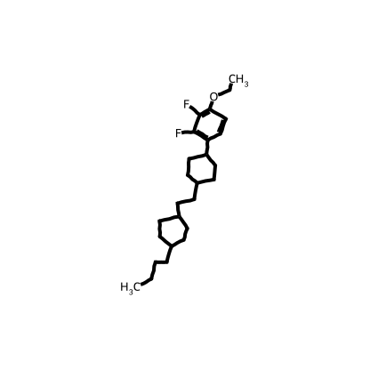 CCCCC1CCC(CCC2CCC(c3ccc(OCC)c(F)c3F)CC2)CC1